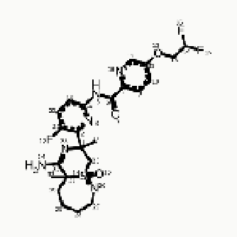 CC1(c2nc(NC(=O)c3ccc(OCC(F)F)cn3)ccc2F)CS2(=O)=NCCCCC2(C)C(N)=N1